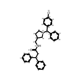 O=C(CC(c1ccccc1)c1ccccc1)NCC1CCN(C(c2ccccc2)c2ccc(Cl)cc2)C1